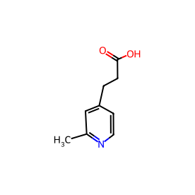 Cc1cc(CCC(=O)O)ccn1